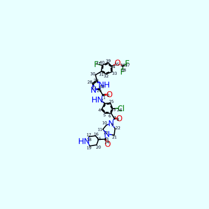 O=C(Nc1ccc(C(=O)N2CCN(C(=O)C3CCNCC3)CC2)c(Cl)c1)c1ncc(Cc2ccc(OC(F)F)cc2F)[nH]1